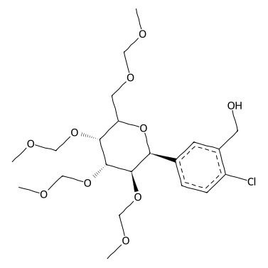 COCOCC1O[C@@H](c2ccc(Cl)c(CO)c2)[C@@H](OCOC)[C@H](OCOC)[C@@H]1OCOC